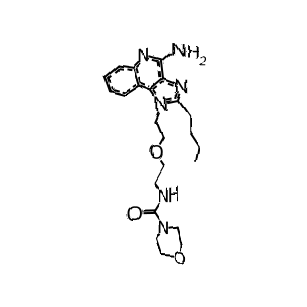 CCCCc1nc2c(N)nc3ccccc3c2n1CCOCCNC(=O)N1CCOCC1